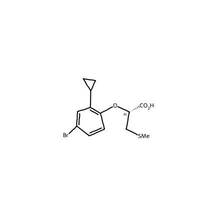 CSC[C@H](Oc1ccc(Br)cc1C1CC1)C(=O)O